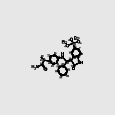 CCOP(=O)(OCC)c1ccc2c(c1)C(=C(Nc1ccc(N(C)C(N)=O)cc1)c1ccccc1)C(=O)N2